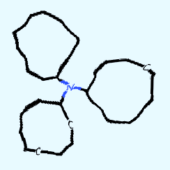 C1CCCCCC(N(C2CCCCCCCCC2)C2CCCCCCCC2)CCCC1